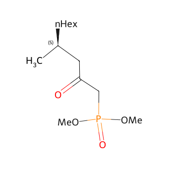 CCCCCC[C@H](C)CC(=O)CP(=O)(OC)OC